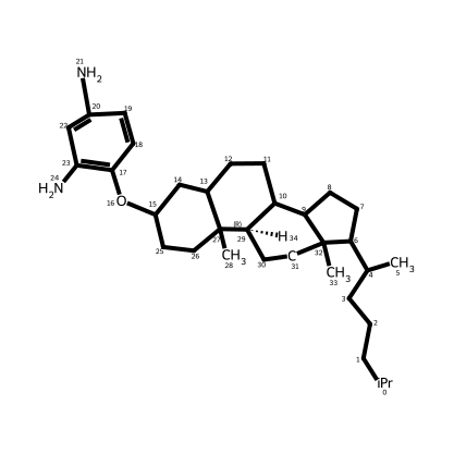 CC(C)CCCC(C)C1CCC2C3CCC4CC(Oc5ccc(N)cc5N)CCC4(C)[C@@H]3CCC12C